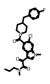 CCCN(C)C(=O)C(=O)c1cn(C)c2cc(Cl)c(C(=O)N3CCC(Cc4ccc(F)cc4)CC3)cc12